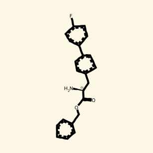 N[C@@H](Cc1ccc(-c2ccc(F)cc2)cc1)C(=O)OCc1ccccc1